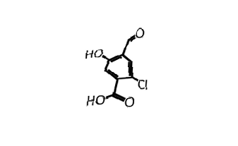 O=Cc1cc(Cl)c(C(=O)O)cc1O